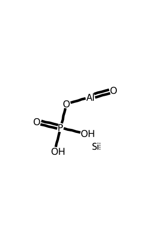 [O]=[Al][O]P(=O)(O)O.[Si]